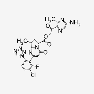 Cc1nc(N)cnc1C(=O)COC(=O)[C@@H]1C[C@H](C)c2nc(-c3c(-n4cnnn4)ccc(Cl)c3F)cc(=O)n21